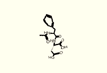 CC(=O)NC(Cc1[c]cccc1)C(=O)N[C@@H](CC(=O)O)C(=O)O